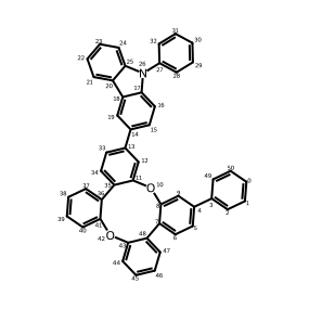 c1ccc(-c2ccc3c(c2)Oc2cc(-c4ccc5c(c4)c4ccccc4n5-c4ccccc4)ccc2-c2ccccc2Oc2ccccc2-3)cc1